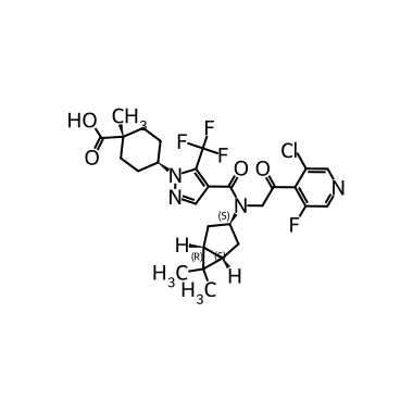 CC1(C)[C@@H]2C[C@@H](N(CC(=O)c3c(F)cncc3Cl)C(=O)c3cnn([C@H]4CC[C@](C)(C(=O)O)CC4)c3C(F)(F)F)C[C@@H]21